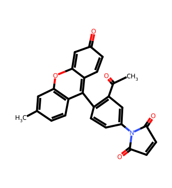 CC(=O)c1cc(N2C(=O)C=CC2=O)ccc1-c1c2ccc(=O)cc-2oc2cc(C)ccc12